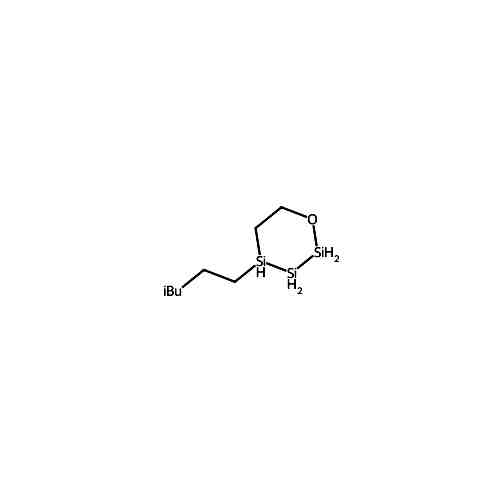 CCC(C)CC[SiH]1CCO[SiH2][SiH2]1